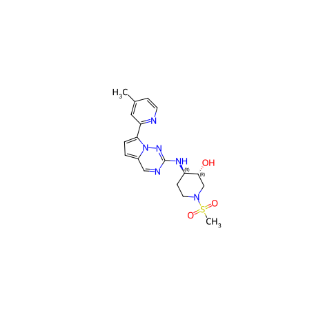 Cc1ccnc(-c2ccc3cnc(N[C@@H]4CCN(S(C)(=O)=O)C[C@H]4O)nn23)c1